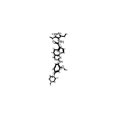 CCc1n[nH]c(CC)c1NC(=O)c1ccn2c1CCc1cnc(Nc3ccc(N4CCN(C)CC4)cc3OC)nc1-2